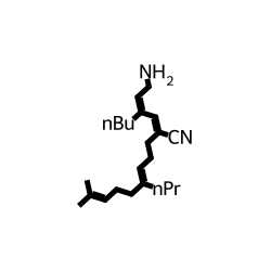 CCCCC(=C/CN)/C=C(/C#N)CC/C=C(\CCC)CCC=C(C)C